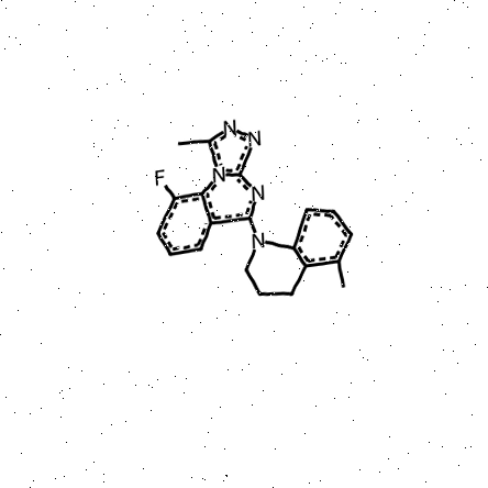 Cc1cccc2c1CCCN2c1nc2nnc(C)n2c2c(F)cccc12